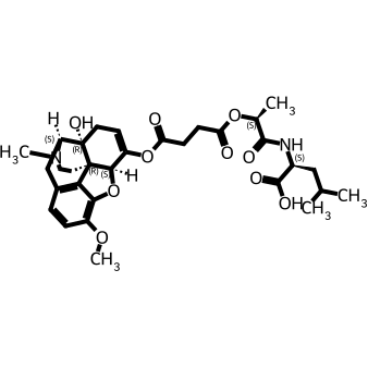 COc1ccc2c3c1O[C@@H]1C(OC(=O)CCC(=O)O[C@@H](C)C(=O)N[C@@H](CC(C)C)C(=O)O)=CC[C@]4(O)[C@H](C2)N(C)CC[C@@]314